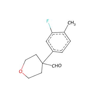 Cc1ccc(C2(C=O)CCOCC2)cc1F